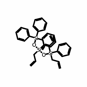 C=CC[Si](CC=C)(O[Si](CC=C)(O[Si](CC=C)(c1ccccc1)c1ccccc1)c1ccccc1)c1ccccc1